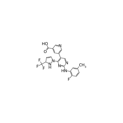 Cc1ccc(F)c(Nc2ncc(-c3cncc(C(=O)O)c3)c(N3C=CC(C(F)(F)F)N3)n2)c1